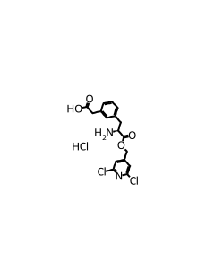 Cl.N[C@@H](Cc1cccc(CC(=O)O)c1)C(=O)OCc1cc(Cl)nc(Cl)c1